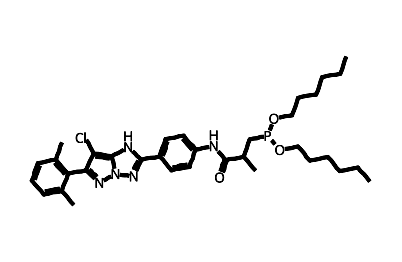 CCCCCCOP(CC(C)C(=O)Nc1ccc(-c2nn3nc(-c4c(C)cccc4C)c(Cl)c3[nH]2)cc1)OCCCCCC